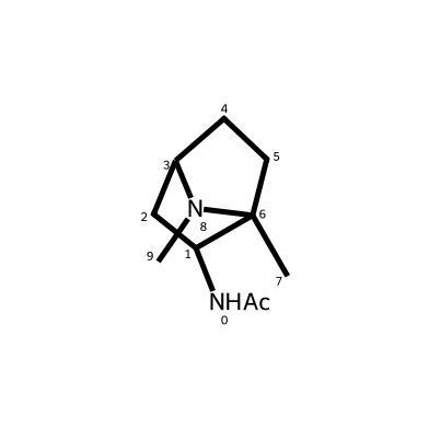 CC(=O)NC1CC2CCC1(C)N2C